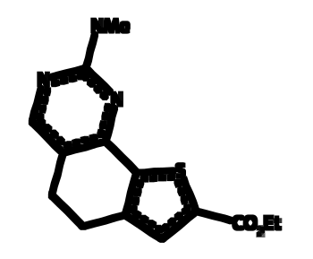 CCOC(=O)c1cc2c(s1)-c1nc(NC)ncc1CC2